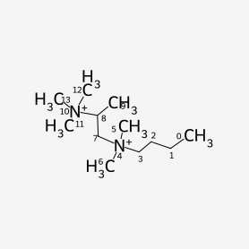 CCCC[N+](C)(C)CC(C)[N+](C)(C)C